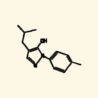 Cc1ccc(-n2ncc(CC(C)C)c2O)cc1